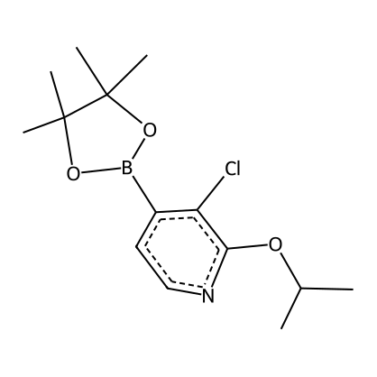 CC(C)Oc1nccc(B2OC(C)(C)C(C)(C)O2)c1Cl